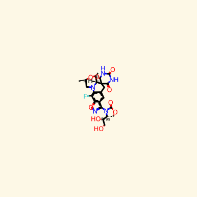 C[C@@H]1CN2c3c(cc4c(N5C(=O)OC[C@@H]5[C@@H](O)CO)noc4c3F)CC3(C(=O)NC(=O)NC3=O)[C@H]2[C@H](C)O1